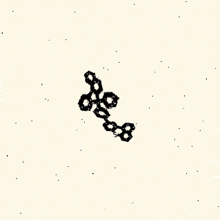 c1ccc(C2(c3ccc(-c4ccc5c(c4)-c4cccc6cccc(c46)S5)cc3)c3ccccc3-c3c2ccc2ccccc32)cc1